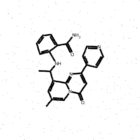 Cc1cc(C(C)Nc2ccccc2C(N)=O)c2nc(-c3ccncc3)cc(=O)n2c1